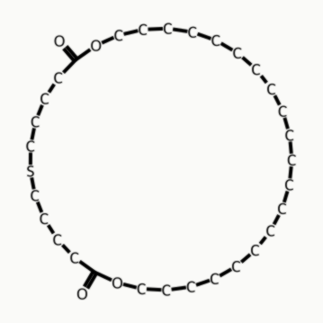 O=C1CCCCSCCCCC(=O)OCCCCCCCCCCCCCCCCCCCCO1